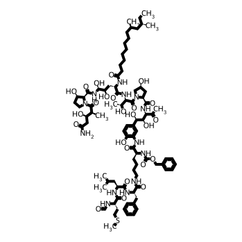 CC[C@H](C)C[C@H](C)CCCCCCCCC(=O)N[C@@H](C[C@@H](O)[C@@H](O)NC(=O)[C@@H]1[C@@H](O)CCN1C(=O)[C@@H](C)[C@H](O)CC(N)=O)C(=O)N[C@H](C(=O)N1C[C@H](O)C[C@H]1C(=O)N[C@H](C(C)=O)[C@H](O)[C@@H](O)c1ccc(O)c(NC(=O)[C@H](CCCCNC(=O)[C@H](Cc2ccccc2)NC(=O)[C@H](CC(C)C)NC(=O)[C@H](CCSC)NC=O)NC(=O)OCc2ccccc2)c1)[C@@H](C)O